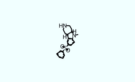 CN1c2ccc(S(=O)(=O)c3ccccc3)cc2[C@@H]2CCNCC[C@@H]21